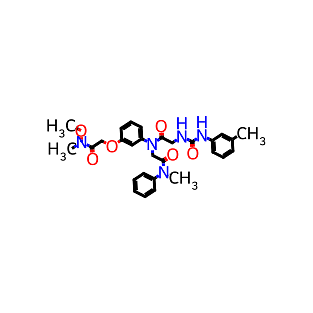 CON(C)C(=O)COc1cccc(N(CC(=O)N(C)c2ccccc2)C(=O)CNC(=O)Nc2cccc(C)c2)c1